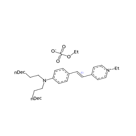 CCCCCCCCCCCCN(CCCCCCCCCCCC)c1ccc(/C=C/c2cc[n+](CC)cc2)cc1.CCOS(=O)(=O)[O-]